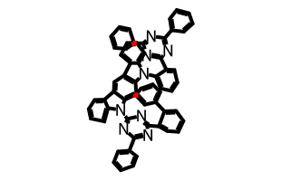 c1ccc(-c2nc(-c3ccccc3)nc(-c3ccccc3-n3c4ccccc4c4cc5c6ccccc6n(-c6nc(-c7ccccc7)nc(-c7ccccc7-c7ccccc7)n6)c5cc43)n2)cc1